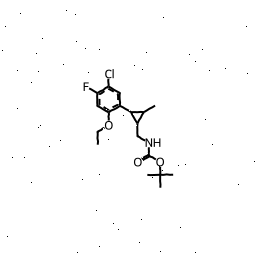 CCOc1cc(F)c(Cl)cc1C1C(C)C1CNC(=O)OC(C)(C)C